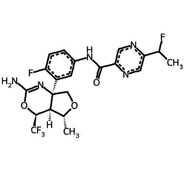 CC(F)c1cnc(C(=O)Nc2ccc(F)c([C@]34CO[C@H](C)[C@H]3[C@@H](C(F)(F)F)OC(N)=N4)c2)cn1